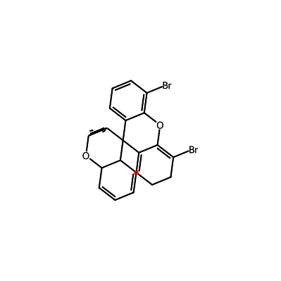 BrC1=C2Oc3c(Br)cccc3C3(C2=CCC1)C1C=CC=CC1OC1C=CC=CC13